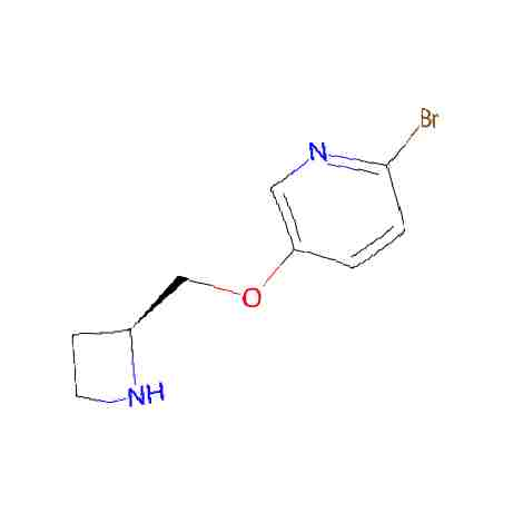 Brc1ccc(OC[C@@H]2CCN2)cn1